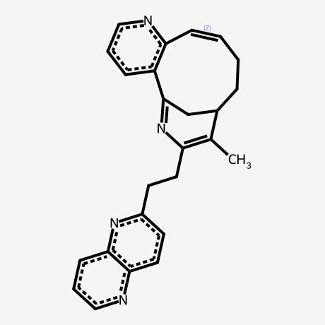 CC1=C(CCc2ccc3ncccc3n2)N=C2CC1CC/C=C\c1ncccc12